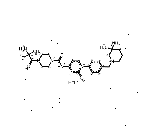 CC1(N)CCCN(Cc2ccc(-n3ccc(NC(=O)N4CCN(C(=O)C(C)(C)N)CC4)nc3=O)cc2)C1.Cl